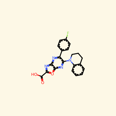 O=C(O)c1nc2nc(-c3ccc(F)cc3)c(N3CCCc4ccccc43)nc2o1